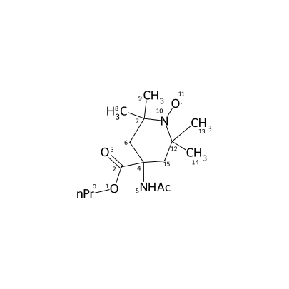 CCCOC(=O)C1(NC(C)=O)CC(C)(C)N([O])C(C)(C)C1